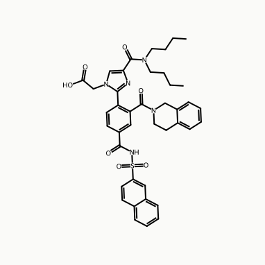 CCCCN(CCCC)C(=O)c1cn(CC(=O)O)c(-c2ccc(C(=O)NS(=O)(=O)c3ccc4ccccc4c3)cc2C(=O)N2CCc3ccccc3C2)n1